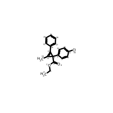 CCOC(=O)C1(c2ccc(Cl)cc2)C(C)=C1c1ccccc1